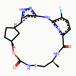 C[C@H]1CCNC(=O)O[C@@H]2CC[C@@H](C2)c2cc(n[nH]2)Nc2nc(ccc2F)C(=O)N1